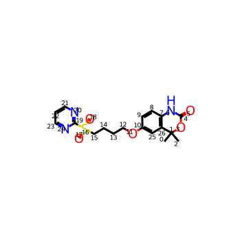 CC1(C)OC(=O)Nc2ccc(OCCCCS(=O)(=O)c3ncccn3)cc21